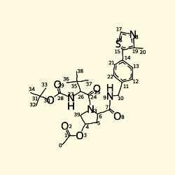 CC(=O)OC1CC(C(=O)NCc2ccc(-c3scnc3C)cc2)N(C(=O)C(NC(=O)OC(C)(C)C)C(C)(C)C)C1